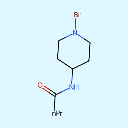 CCCC(=O)NC1CCN(Br)CC1